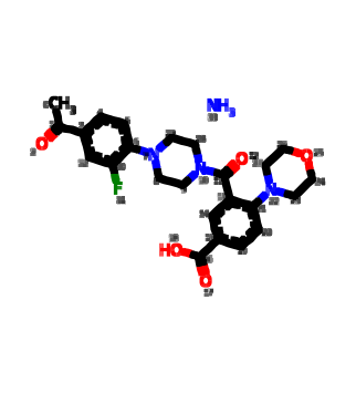 CC(=O)c1ccc(N2CCN(C(=O)c3cc(C(=O)O)ccc3N3CCOCC3)CC2)c(F)c1.N